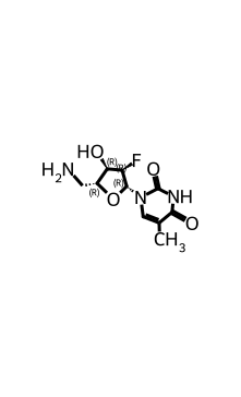 Cc1cn([C@@H]2O[C@H](CN)[C@@H](O)[C@H]2F)c(=O)[nH]c1=O